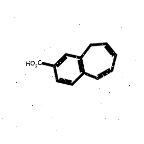 O=C(O)c1ccc2c(c1)CC=CC=C2